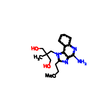 COCCc1nc2c(N)nc3ccccc3c2n1CC(C)(CO)CO